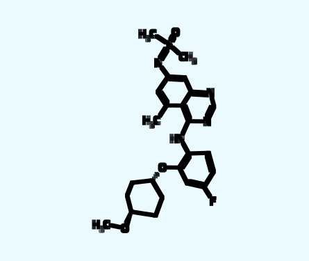 CO[C@H]1CC[C@H](Oc2cc(F)ccc2Nc2ncnc3cc(N=S(C)(C)=O)cc(C)c23)CC1